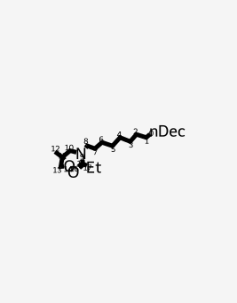 CCCCCCCCCCCCCCCCCCN(CC1(C)CO1)C(=O)CC